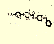 C[C@@H]1CN(c2ccc(C(F)(F)F)nn2)C[C@@H](C)N1C(=O)NC1CCN(Cc2ccccc2)CC1